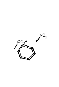 CC(=O)O.C[N+](=O)[O-].c1ccccc1